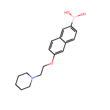 OB(O)c1ccc2cc(OCCN3CCCCC3)ccc2c1